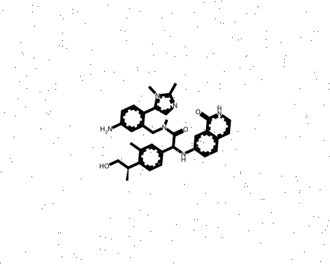 Cc1cc(C(Nc2ccc3cc[nH]c(=O)c3c2)C(=O)N(C)Cc2cc(N)ccc2-c2cnc(C)n2C)ccc1[C@@H](C)CO